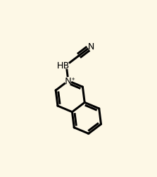 N#CB[n+]1ccc2ccccc2c1